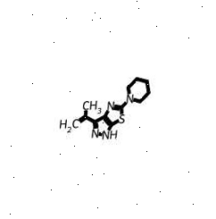 C=C(C)c1n[nH]c2sc(N3CCCCC3)nc12